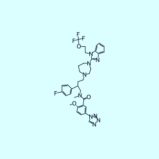 COc1ccc(-n2cnnn2)cc1C(=O)N(C)CC(CCN1CCCN(c2nc3ccccc3n2CCOC(F)(F)F)CC1)c1ccc(F)cc1